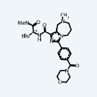 CNC(=O)[C@@H](NC(=O)c1nc(-c2ccc(C(=O)N3CCOCC3)cc2)n2c1CN(C)CCC2)C(C)(C)C